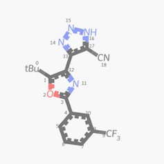 CC(C)(C)c1oc(-c2cccc(C(F)(F)F)c2)nc1-c1nn[nH]c1C#N